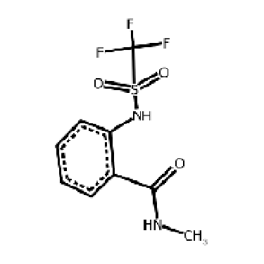 CNC(=O)c1ccccc1NS(=O)(=O)C(F)(F)F